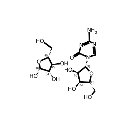 Nc1ncn([C@@H]2O[C@H](CO)[C@@H](O)[C@H]2O)c(=O)n1.OC[C@H]1O[C@@H](O)[C@@H](O)[C@@H]1O